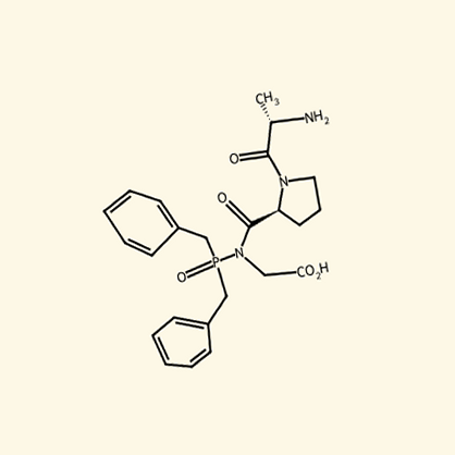 C[C@H](N)C(=O)N1CCC[C@H]1C(=O)N(CC(=O)O)P(=O)(Cc1ccccc1)Cc1ccccc1